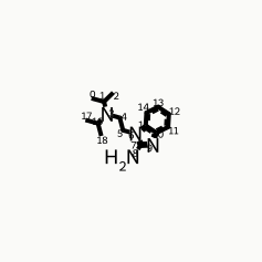 CC(C)N(CCn1c(N)nc2ccccc21)C(C)C